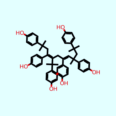 CC(C)(CC(=C(CC(=CC(C)(CC(C)(C)c1ccc(O)cc1)c1ccc(O)cc1)c1ccc(O)cc1)C(C)(C)c1ccc(O)cc1)c1ccc(O)cc1)c1ccc(O)cc1